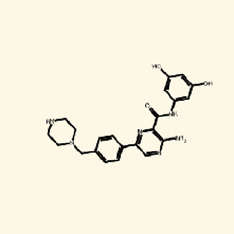 Nc1ncc(-c2ccc(CN3CCNCC3)cc2)nc1C(=O)Nc1cc(O)cc(O)c1